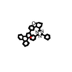 C1=CC2Oc3ccc(-c4ccc5c(c4)C4C=CC=CC4c4ccccc4-5)cc3C2C(c2nc(-c3ccccc3)nc(-c3ccccc3)n2)=C1